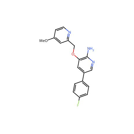 COc1ccnc(COc2cc(-c3ccc(F)cc3)cnc2N)c1